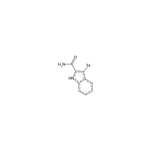 [2H]c1c(C(N)=O)[nH]c2ccccc12